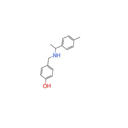 Cc1ccc(C(C)NCc2ccc(O)cc2)cc1